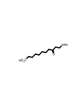 CSCCC(=O)CCCCCCCC(=O)O